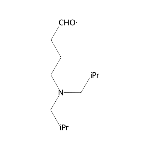 CC(C)CN(CCC[C]=O)CC(C)C